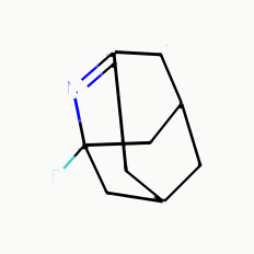 FC12CC3CC(=N1)CC(C3)C2